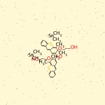 CC1=C2Sc3ccccc3C=C2C=C(C(=O)C2=CC3=Cc4ccccc4SC3=C(C)C2(C)OCCCO)C1(C)OCCCO.[CH3][Sn][CH3].[CH3][Sn][CH3]